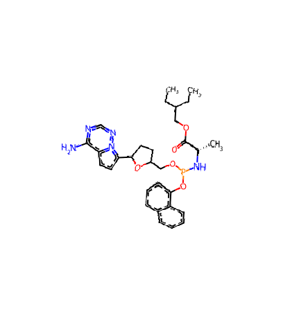 CCC(CC)COC(=O)[C@H](C)NP(OCC1CCC(c2ccc3c(N)ncnn23)O1)Oc1cccc2ccccc12